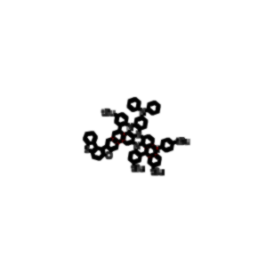 CC(C)(C)c1ccc(N(c2ccc(C(C)(C)C)cc2)c2ccc3c(c2)N(c2ccc(C(C)(C)C)cc2-c2ccccc2)c2cc(-c4ccc5c(c4)oc4ccc6sc7ccccc7c6c45)cc4c2B3c2ccc(N(c3ccccc3)c3ccccc3)cc2N4c2ccc(C(C)(C)C)cc2-c2ccccc2)cc1